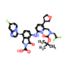 CC(C)(C)OC(=O)N(Cc1nc(Nc2ccc(-c3cnc4cc(F)ccn34)c3c2C(=O)N(C(=O)O)C3)ccc1C1CCOC1)CC(F)F